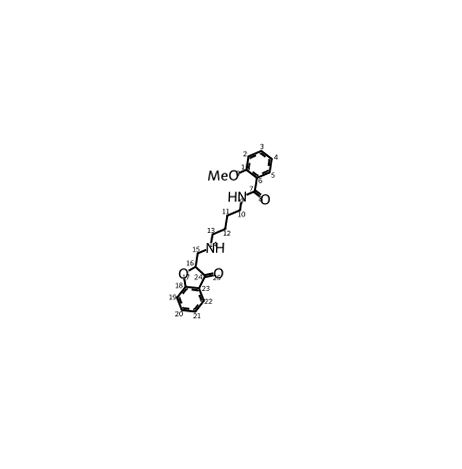 COc1ccccc1C(=O)NCCCCNCC1Oc2ccccc2C1=O